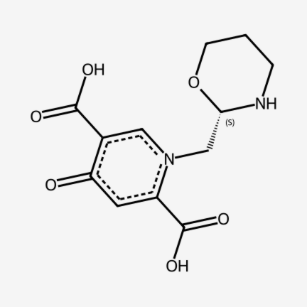 O=C(O)c1cn(C[C@H]2NCCCO2)c(C(=O)O)cc1=O